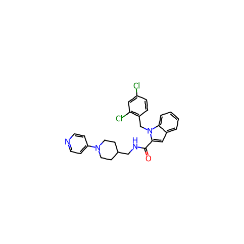 O=C(NCC1CCN(c2ccncc2)CC1)c1cc2ccccc2n1Cc1ccc(Cl)cc1Cl